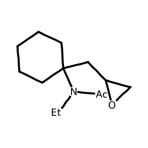 CCN(C(C)=O)C1(CC2CO2)CCCCC1